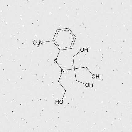 O=[N+]([O-])c1ccccc1SN(CCO)C(CO)(CO)CO